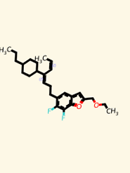 C/C=C\C(=C/CCc1cc2cc(COCC)oc2c(F)c1F)C1CCC(CCC)CC1